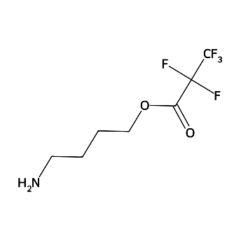 NCCCCOC(=O)C(F)(F)C(F)(F)F